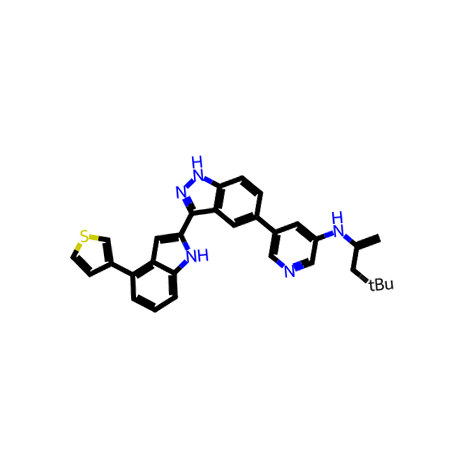 C=C(CC(C)(C)C)Nc1cncc(-c2ccc3[nH]nc(-c4cc5c(-c6ccsc6)cccc5[nH]4)c3c2)c1